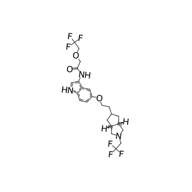 O=C(COCC(F)(F)F)Nc1c[nH]c2ccc(OCCC3C[C@@H]4CN(CC(F)(F)F)C[C@@H]4C3)cc12